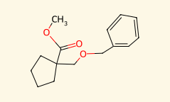 COC(=O)C1(COCc2ccccc2)CCCC1